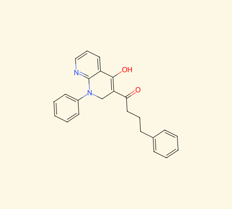 O=C(CCCc1ccccc1)C1=C(O)c2cccnc2N(c2ccccc2)C1